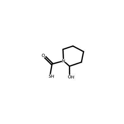 O=C(S)N1CCCCC1O